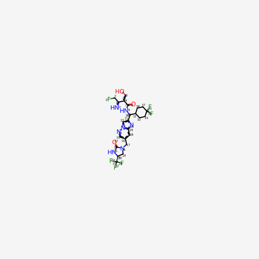 N=C(CF)/C(=C\O)C(=O)N[C@H](c1cn2ncc(CN3C[C@@H](C(F)(F)F)NC3=O)cc2n1)C1CCC(F)(F)CC1